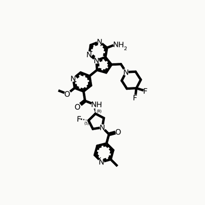 COc1ncc(-c2cc(CN3CCC(F)(F)CC3)c3c(N)ncnn23)cc1C(=O)N[C@@H]1CN(C(=O)c2ccnc(C)c2)C[C@@H]1F